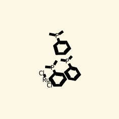 CP(C)c1ccccc1.CP(C)c1ccccc1.CP(C)c1ccccc1.[Cl][Ru][Cl]